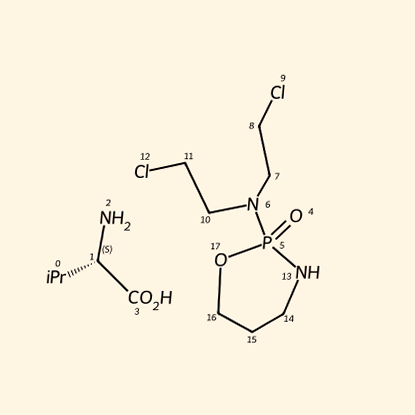 CC(C)[C@H](N)C(=O)O.O=P1(N(CCCl)CCCl)NCCCO1